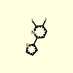 Ic1ccc(-c2cccs2)nc1I